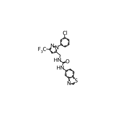 O=C(NCc1cc(C(F)(F)F)nn1-c1cccc(Cl)c1)Nc1ccc2scnc2c1